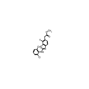 COC(=O)Cc1ccc2nc(Nc3c(C)cccc3Cl)oc2c1F